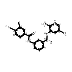 Cc1cc(C(=O)Nc2cccc([C@@H](C)Oc3cc(Cl)cnc3N)c2)ccc1F